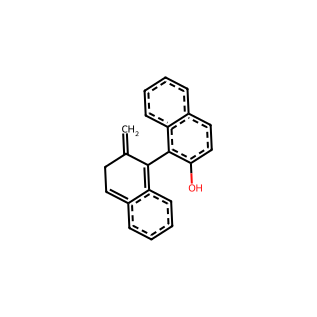 C=C1CC=c2ccccc2=C1c1c(O)ccc2ccccc12